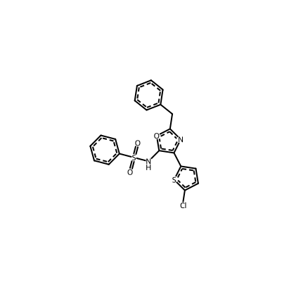 O=S(=O)(Nc1oc(Cc2ccccc2)nc1-c1ccc(Cl)s1)c1ccccc1